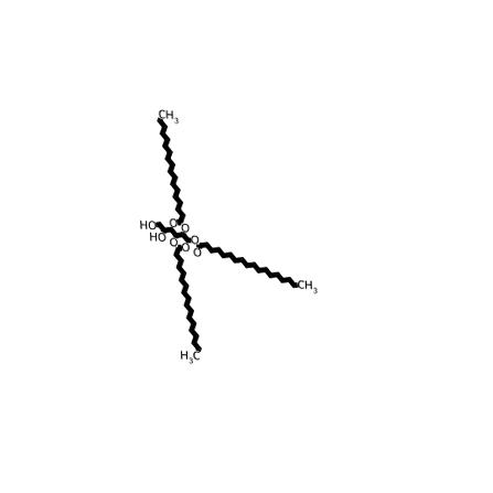 CCCCCCCCCCCCCCCCCC(=O)OCC(OC(=O)CCCCCCCCCCCCCCCCC)C(CC(O)CO)OC(=O)CCCCCCCCCCCCCCCCC